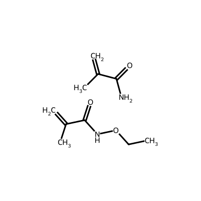 C=C(C)C(=O)NOCC.C=C(C)C(N)=O